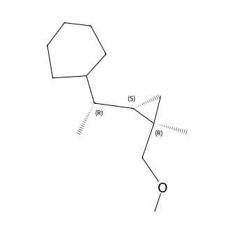 COC[C@]1(C)C[C@H]1[C@H](C)C1CCCCC1